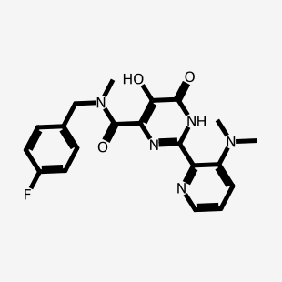 CN(Cc1ccc(F)cc1)C(=O)c1nc(-c2ncccc2N(C)C)[nH]c(=O)c1O